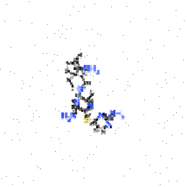 CC1=CCC2(CCN(c3nc(N)c(Sc4ccnc(N)n4)nc3C)CC2)[C@@H]1N